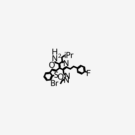 Cc1nnc(-c2c(CCc3ccc(F)cc3)nc(CC(C)C)c(C(N)=O)c2-c2cc3cccc(Br)c3s2)o1